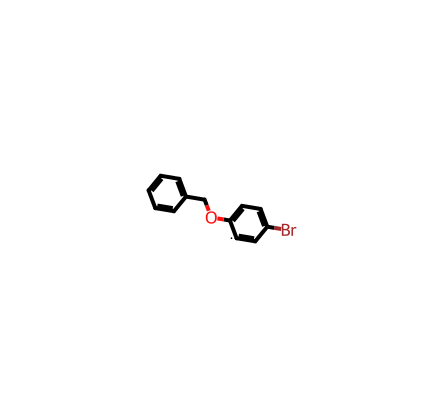 Brc1c[c]c(OCc2ccccc2)cc1